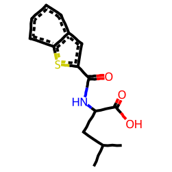 CC(C)CC(NC(=O)c1cc2ccccc2s1)C(=O)O